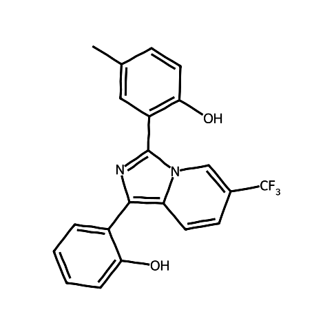 Cc1ccc(O)c(-c2nc(-c3ccccc3O)c3ccc(C(F)(F)F)cn23)c1